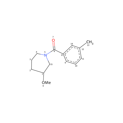 COC1CCCN(C(=O)c2cccc(C)c2)C1